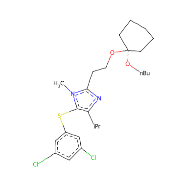 CCCCOC1(OCCc2nc(C(C)C)c(Sc3cc(Cl)cc(Cl)c3)n2C)CCCCC1